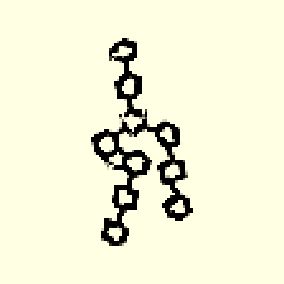 c1ccc(-c2ccc(-c3cccc(-c4nc(-c5ccc(-c6ccccn6)cc5)nc(-c5cccc6oc7c(-c8ccc(-c9ccccc9)cc8)cccc7c56)n4)c3)cc2)cc1